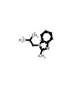 Cc1nc2ccccc2n1CC(C)C